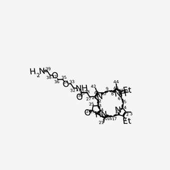 CCC1=C(C)c2cc3[nH]c(cc4nc(c5c6[nH]c(cc1n2)c(C)c6C(=O)C5)C(CCC(=O)NCCOCCOCCN)=C4C)c(C)c3CC